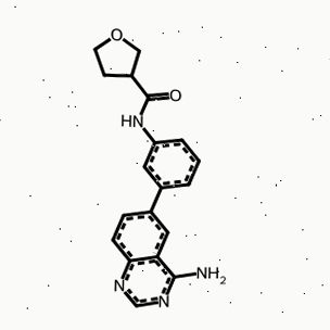 Nc1ncnc2ccc(-c3cccc(NC(=O)C4CCOC4)c3)cc12